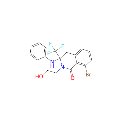 O=C1c2c(Br)cccc2CC(Nc2ccccc2)(C(F)(F)F)N1CCO